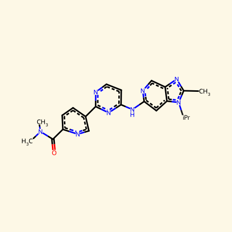 Cc1nc2cnc(Nc3ccnc(-c4ccc(C(=O)N(C)C)nc4)n3)cc2n1C(C)C